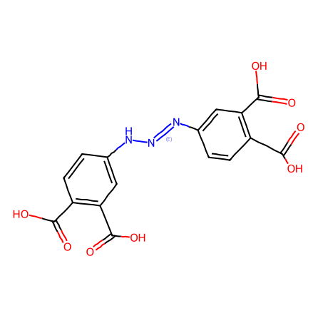 O=C(O)c1ccc(/N=N/Nc2ccc(C(=O)O)c(C(=O)O)c2)cc1C(=O)O